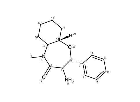 CN1C(=O)C(N)[C@@H](c2ccccc2)O[C@H]2CCCCC21